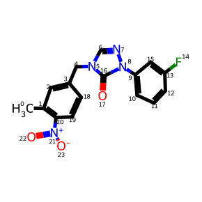 Cc1cc(Cn2cnn(-c3cccc(F)c3)c2=O)ccc1[N+](=O)[O-]